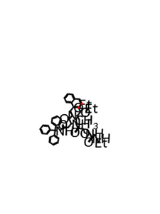 CCNC(=O)NOCC(=O)NC(CC(=O)NC(c1ccccc1)(c1ccccc1)c1ccccc1)C(=O)N(Cc1cccc2ccccc12)C(C)C(OCC)OCC